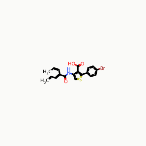 C=C/C=C(\C=C/C)C(=O)Nc1csc(-c2ccc(Br)cc2)c1C(=O)O